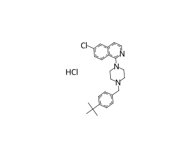 CC(C)(C)c1ccc(CN2CCN(c3nccc4cc(Cl)ccc34)CC2)cc1.Cl